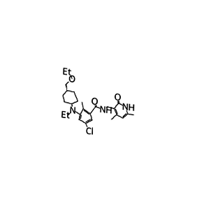 CCOC[C@H]1CC[C@@H](N(CC)c2cc(Cl)cc(C(=O)NCc3c(C)cc(C)[nH]c3=O)c2C)CC1